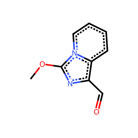 COc1nc(C=O)c2ccccn12